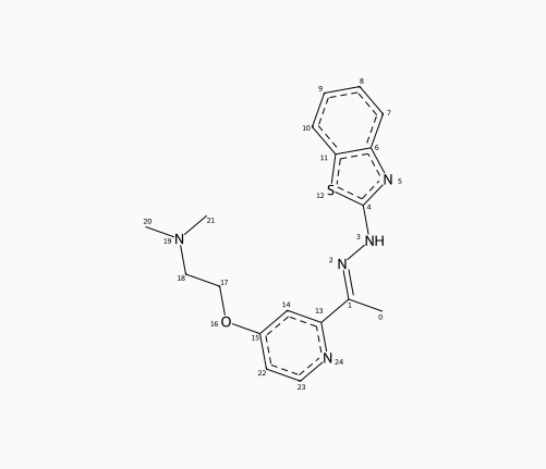 C/C(=N\Nc1nc2ccccc2s1)c1cc(OCCN(C)C)ccn1